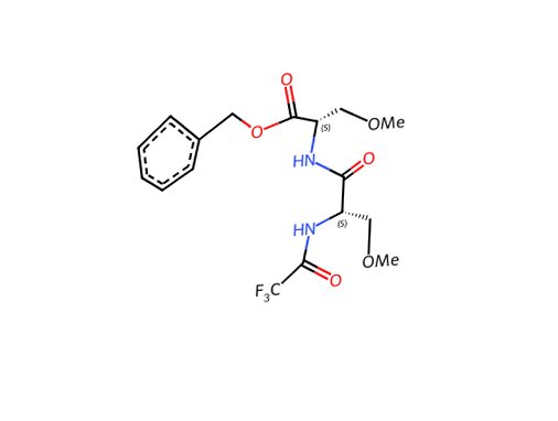 COC[C@H](NC(=O)C(F)(F)F)C(=O)N[C@@H](COC)C(=O)OCc1ccccc1